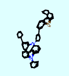 c1ccc(-c2cccc(N(c3ccc(-c4ccc5c(c4)sc4ccc6ccccc6c45)cc3)c3cccc4c3c3ccccc3n4-c3ccccc3)c2)cc1